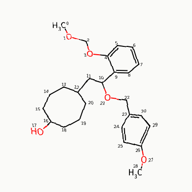 COCOc1ccccc1C(CC1CCCC(O)CCC1)OCc1ccc(OC)cc1